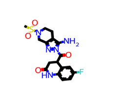 CS(=O)(=O)N1CCc2c(nn(C(=O)C3CC(=O)Nc4ccc(F)cc43)c2N)C1